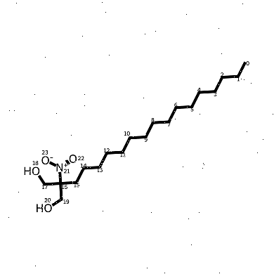 CCCCCCCCCCCCCCCCC(CO)(CO)[N+](=O)[O-]